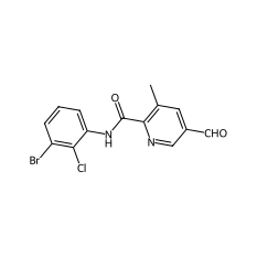 Cc1cc(C=O)cnc1C(=O)Nc1cccc(Br)c1Cl